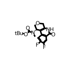 CN(C(=O)OC(C)(C)C)[C@@H]1COCc2[nH]c(=O)c3cc(F)c(F)cc3c21